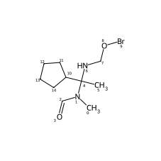 CN(C=O)C(C)(NCOBr)C1CCCC1